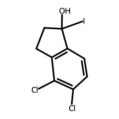 OC1(I)CCc2c1ccc(Cl)c2Cl